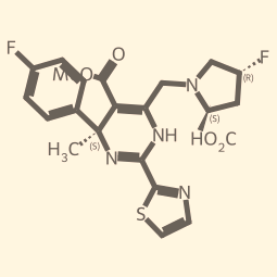 COC(=O)C1=C(CN2C[C@H](F)C[C@H]2C(=O)O)NC(c2nccs2)=N[C@@]1(C)c1ccc(F)cc1